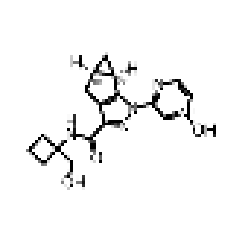 O=C(NC1(CO)CCC1)c1nn(-c2c[n+](O)ccn2)c2c1C[C@H]1C[C@@H]21